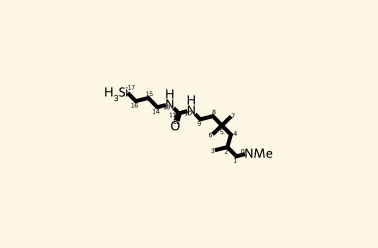 CNCC(C)CC(C)(C)CCNC(=O)NCCC[SiH3]